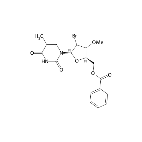 COC1C(Br)[C@H](n2cc(C)c(=O)[nH]c2=O)O[C@@H]1COC(=O)c1ccccc1